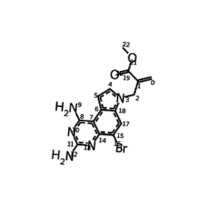 C=C(Cn1ccc2c3c(N)nc(N)nc3c(Br)cc21)C(=O)OC